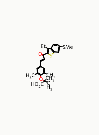 CCc1c(C(=O)/C=C/c2cc(C)c(OC(C)(C)C(=O)O)c(C)c2)sc2cc(SC)ccc12